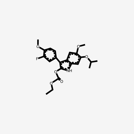 CCOC(=O)Oc1[nH]c2cc(OC(C)C)c(OC)cc2c1-c1ccc(OC)c(F)c1